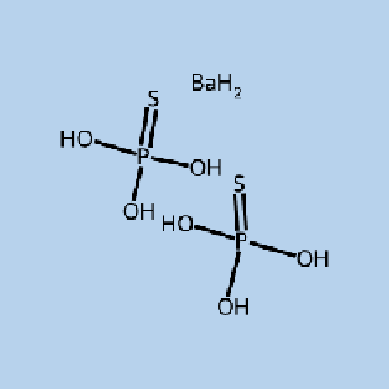 OP(O)(O)=S.OP(O)(O)=S.[BaH2]